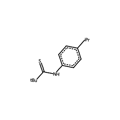 CC(C)c1ccc(NC(=S)C(C)(C)C)cc1